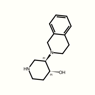 O[C@@H]1CCNC[C@H]1N1CCc2ccccc2C1